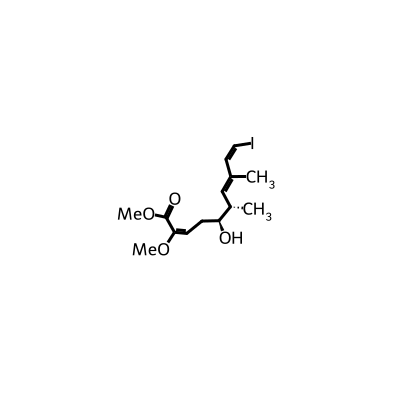 COC(=O)/C(=C\C[C@H](O)[C@@H](C)/C=C(C)/C=C\I)OC